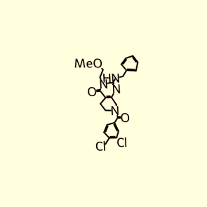 COCCn1c(NCc2ccccc2)nc2c(c1=O)CCN(C(=O)c1ccc(Cl)c(Cl)c1)C2